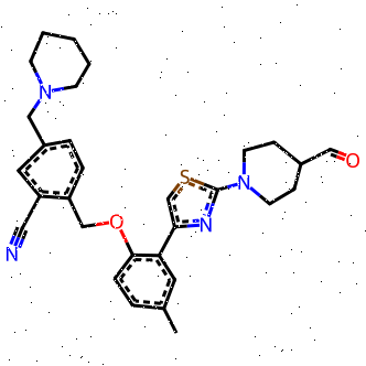 Cc1ccc(OCc2ccc(CN3CCCCC3)cc2C#N)c(-c2csc(N3CCC(C=O)CC3)n2)c1